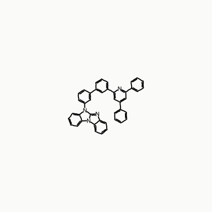 c1ccc(-c2cc(-c3ccccc3)nc(-c3cccc(-c4cccc(-n5c6ccccc6n6c7ccccc7nc56)c4)c3)c2)cc1